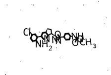 COC(=O)Nc1ccc(-c2nnc(C3CCc4cc(-c5cc(Cl)ccc5N)cnc43)o2)cc1